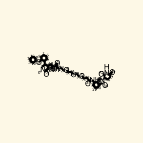 Cn1cc(-c2ccccc2Oc2ccccc2)c2cc(C(=O)NCCOCCOCCOCCC(=O)Nc3cccc4c3CN(C3CCC(=O)NC3=O)C4=O)[nH]c2c1=O